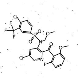 COCN(c1cc(Cl)cnc1C(=O)c1c(F)cccc1OC)S(=O)(=O)c1ccc(Cl)c(C(F)(F)F)c1